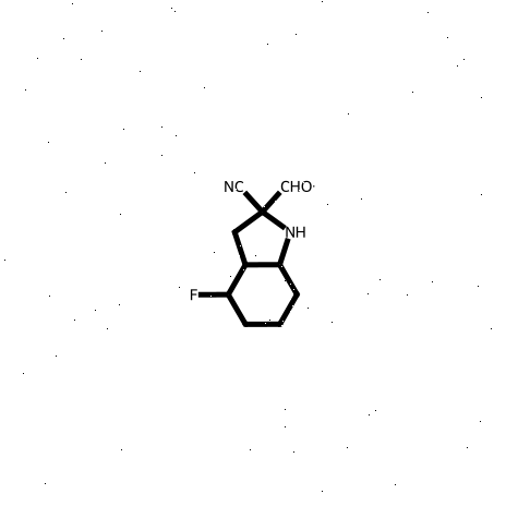 N#CC1([C]=O)CC2C(F)CCCC2N1